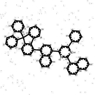 c1ccc(-c2cc(-c3ccc(-c4cccc5c4-c4ccccc4C5(c4ccccc4)c4ccccc4)c4ccccc34)nc(-c3cccc4ccccc34)n2)cc1